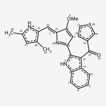 COC1=CC(c2[nH]c3ccccc3c2C(=O)c2ccsc2)=N/C1=C\c1[nH]c(C)cc1C